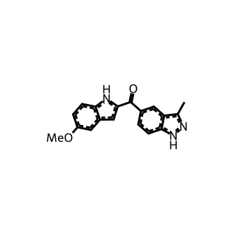 COc1ccc2[nH]c(C(=O)c3ccc4[nH]nc(C)c4c3)cc2c1